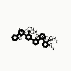 CC(C)(C)c1cc(-c2cccc3c2sc2cccc(-c4ccccc4C(C)(C)C)c23)ccc1-c1cccc2c1sc1ccccc12